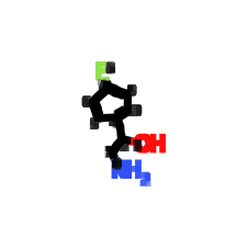 NCC(O)c1ccc(F)cc1